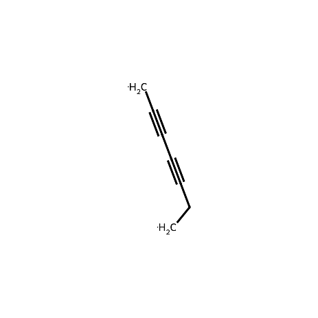 [CH2]C#CC#CC[CH2]